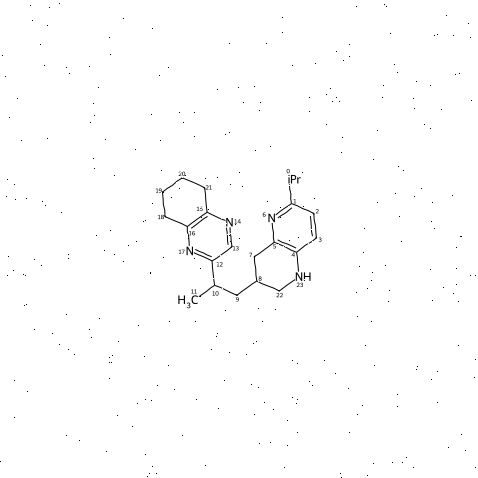 CC(C)c1ccc2c(n1)CC(CC(C)c1cnc3c(n1)CCCC3)CN2